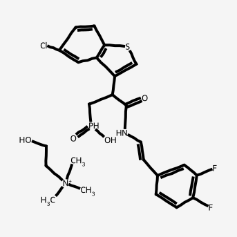 C[N+](C)(C)CCO.O=C(N/C=C/c1ccc(F)c(F)c1)C(C[PH](=O)O)c1csc2ccc(Cl)cc12